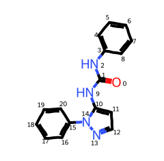 O=C(Nc1ccccc1)Nc1ccnn1-c1ccccc1